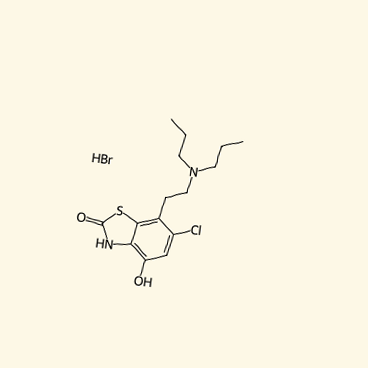 Br.CCCN(CCC)CCc1c(Cl)cc(O)c2[nH]c(=O)sc12